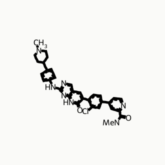 CNC(=O)c1cc(-c2ccc(-c3cc4cnc(Nc5ccc(C6CCN(C)CC6)cc5)nc4[nH]c3=O)c(Cl)c2)ccn1